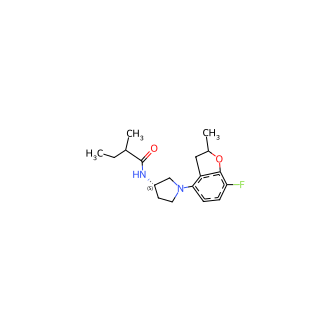 CCC(C)C(=O)N[C@H]1CCN(c2ccc(F)c3c2CC(C)O3)C1